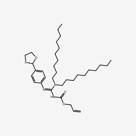 C=CCOC(=O)N/C(=N/c1ccc(C2OCCO2)cc1)N(CCCCCCCCCC)CCCCCCCCCC